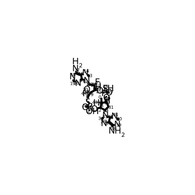 C[C@H]1C2OP(=O)(O)SC[C@H]3O[C@@H](n4cnc5c(N)ncnc54)[C@H](F)[C@@H]3OP(=O)(S)O[C@H]1C[C@H]2n1cnc2c(N)ncnc21